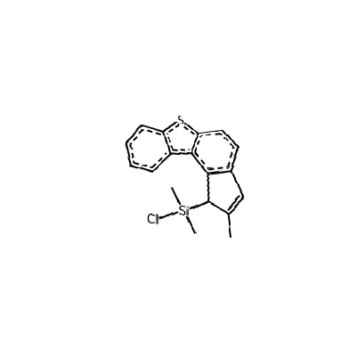 CC1=Cc2ccc3sc4ccccc4c3c2C1[Si](C)(C)Cl